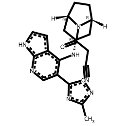 Cc1noc(-c2cnc3[nH]ccc3c2N[C@H]2C[C@H]3CC[C@@H](C2)N3C(=O)CC#N)n1